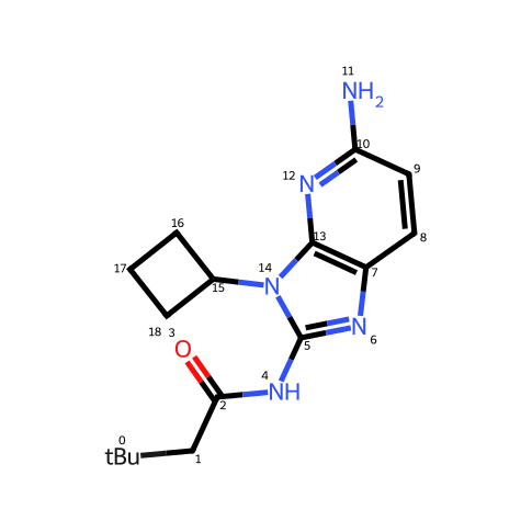 CC(C)(C)CC(=O)Nc1nc2ccc(N)nc2n1C1CCC1